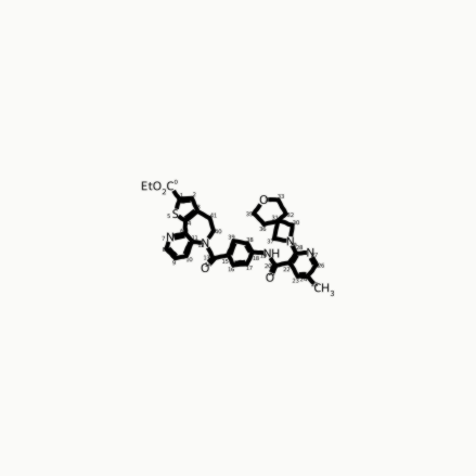 CCOC(=O)c1cc2c(s1)-c1ncccc1N(C(=O)c1ccc(NC(=O)c3cc(C)cnc3N3CC4(CCOCC4)C3)cc1)CC2